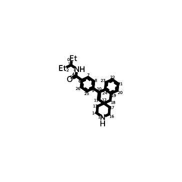 CCC(CC)NC(=O)c1ccc(C2=CC3(CCNCC3)Cc3ccccc32)cc1